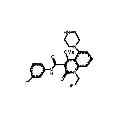 COc1c(C(=O)Nc2cccc(F)c2)c(=O)n(CC(C)C)c2cccc(N3CCNCC3)c12